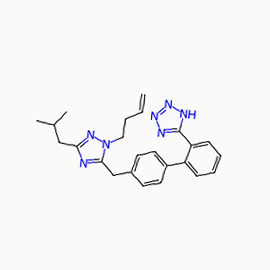 C=CCCn1nc(CC(C)C)nc1Cc1ccc(-c2ccccc2-c2nnn[nH]2)cc1